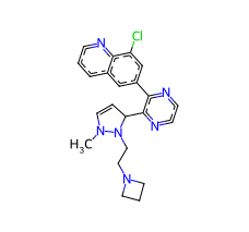 CN1C=CC(c2nccnc2-c2cc(Cl)c3ncccc3c2)N1CCN1CCC1